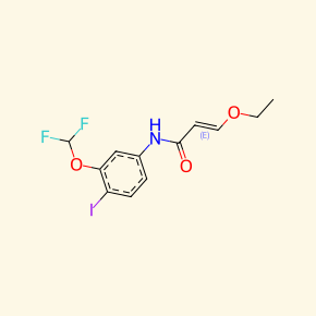 CCO/C=C/C(=O)Nc1ccc(I)c(OC(F)F)c1